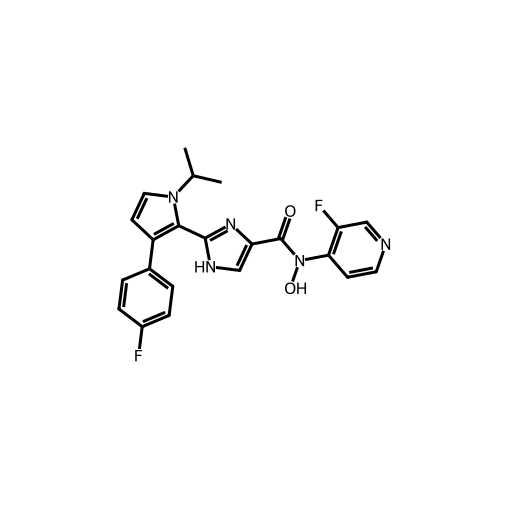 CC(C)n1ccc(-c2ccc(F)cc2)c1-c1nc(C(=O)N(O)c2ccncc2F)c[nH]1